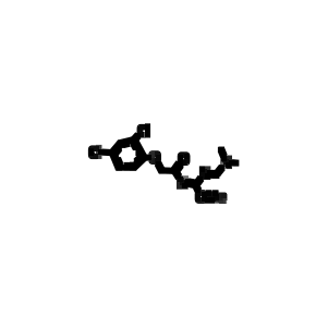 COC(N=CN(C)C)=NC(=O)COc1ccc(Cl)cc1Cl